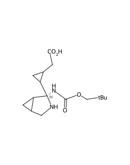 CC(C)(C)COC(=O)N[C@]1(C2CC2CC(=O)O)NCC2CC21